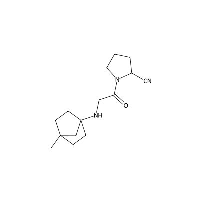 CC12CCC(NCC(=O)N3CCCC3C#N)(CC1)C2